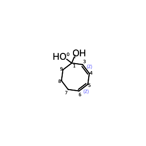 OC1(O)/C=C\C=C/CCC1